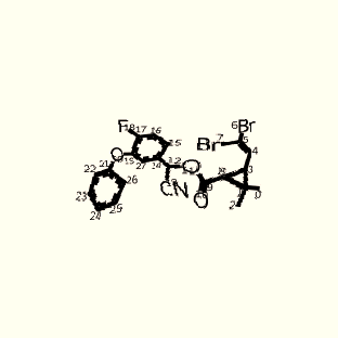 CC1(C)C(C=C(Br)Br)C1C(=O)OC(C#N)c1ccc(F)c(Oc2ccccc2)c1